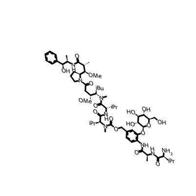 CC[C@H](C)[C@@H]([C@@H](CC(=O)N1CCC[C@H]1[C@H](OC)[C@@H](C)C(=O)N[C@H](C)[C@@H](O)c1ccccc1)OC)N(C)C(=O)[C@@H](NC(=O)[C@H](C(C)C)N(C)C(=O)OCc1ccc(NC(=O)[C@H](C)NC(=O)[C@@H](N)C(C)C)c(O[C@@H]2O[C@H](CO)[C@@H](O)[C@H](O)[C@H]2O)c1)C(C)C